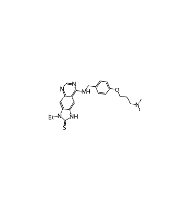 CCn1c(=S)[nH]c2cc3c(NCc4ccc(OCCCN(C)C)cc4)ncnc3cc21